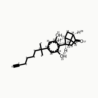 C#CCCCCC(C)(C)c1cc(O)c([C@@H]2CC(=O)[C@@H]3C[C@H]2C3(C)C)c(O)c1